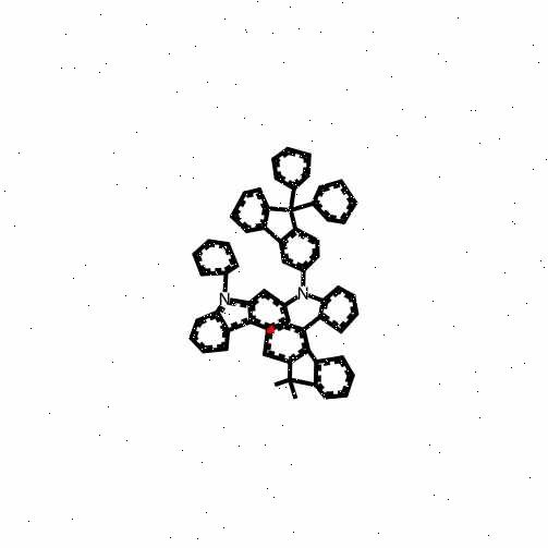 CC1(C)c2ccccc2-c2c(-c3ccccc3N(c3ccc4c(c3)-c3ccccc3C4(c3ccccc3)c3ccccc3)c3ccc4c5ccccc5n(-c5ccccc5)c4c3)cccc21